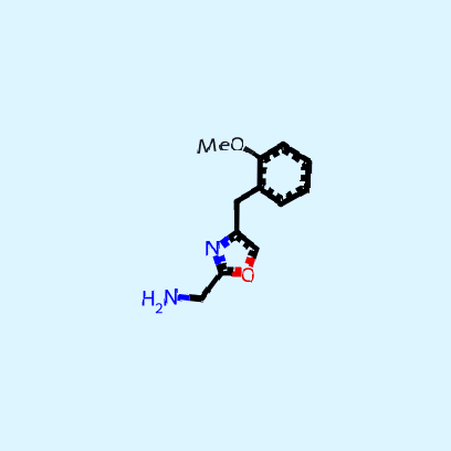 COc1ccccc1Cc1coc(CN)n1